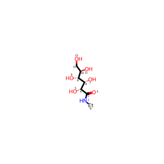 CCNC(=O)[C@H](O)[C@@H](O)[C@H](O)[C@H](O)CO